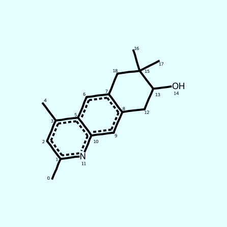 Cc1cc(C)c2cc3c(cc2n1)CC(O)C(C)(C)C3